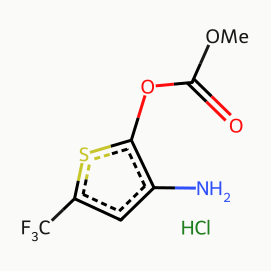 COC(=O)Oc1sc(C(F)(F)F)cc1N.Cl